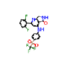 O=C1NCc2nc(-c3c(F)cccc3F)cc(Nc3ccc(S(=O)(=O)C(F)(F)F)cc3)c21